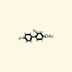 CC(=O)Oc1ccc(-c2ccc(F)cc2)c(F)c1